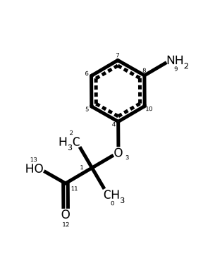 CC(C)(Oc1cccc(N)c1)C(=O)O